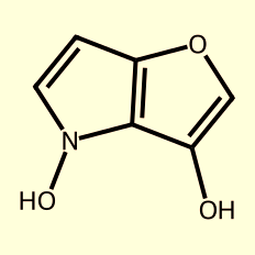 Oc1coc2ccn(O)c12